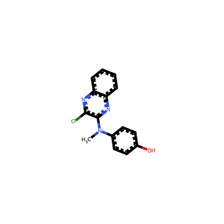 CN(c1ccc(O)cc1)c1nc2ccccc2nc1Cl